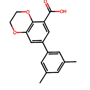 Cc1cc(C)cc(-c2cc3c(c(C(=O)O)c2)OCCO3)c1